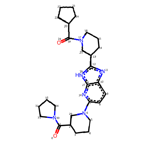 O=C(C1CCCN(c2ccc3nc(C4CCCN(C(=O)C5CCCC5)C4)[nH]c3n2)C1)N1CCCC1